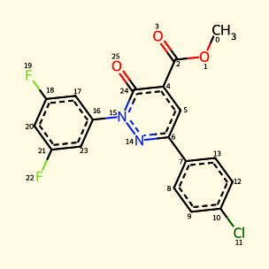 COC(=O)c1cc(-c2ccc(Cl)cc2)nn(-c2cc(F)cc(F)c2)c1=O